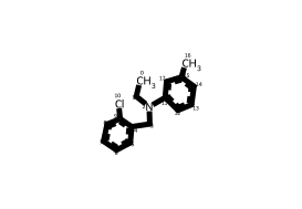 CCN(Cc1ccccc1Cl)c1cccc(C)c1